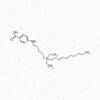 CCCCCCCCCC[Si](CC)(CC)CCCCCNc1ccc(C(=O)O)cc1